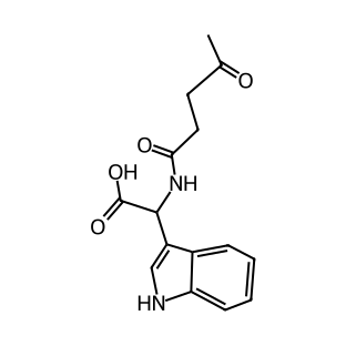 CC(=O)CCC(=O)NC(C(=O)O)c1c[nH]c2ccccc12